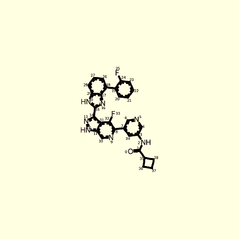 O=C(Nc1cncc(-c2ncc3[nH]nc(-c4nc5c(-c6ccccc6F)cccc5[nH]4)c3c2F)c1)C1CCC1